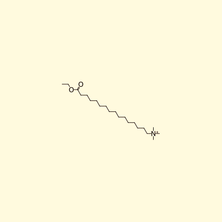 CCOC(=O)CCCCCCCCCCCCCCC[N+](C)(C)C